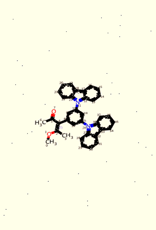 CO/C(C)=C(\C(C)=O)c1cc(-n2c3ccccc3c3ccccc32)cc(-n2c3ccccc3c3ccccc32)c1